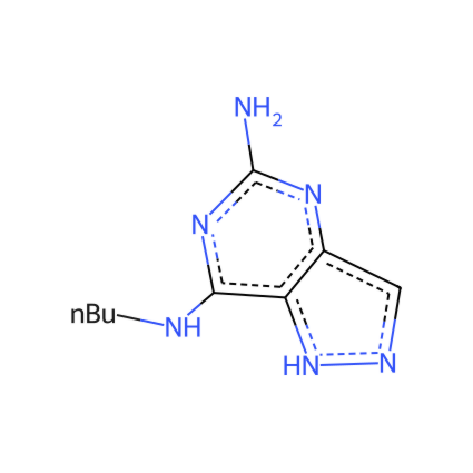 CCCCNc1nc(N)nc2cn[nH]c12